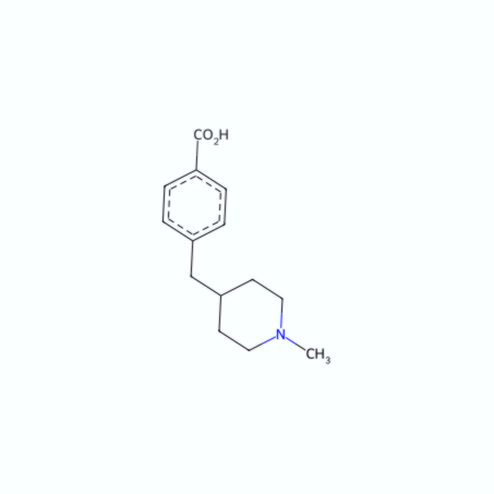 CN1CCC(Cc2ccc(C(=O)O)cc2)CC1